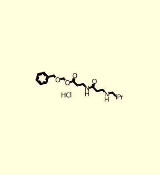 CC(C)CNCCC(=O)NCCC(=O)OCOCc1ccccc1.Cl